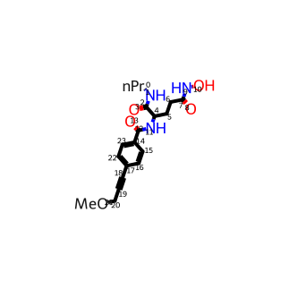 CCCNC(=O)C(CCC(=O)NO)NC(=O)c1ccc(C#CCOC)cc1